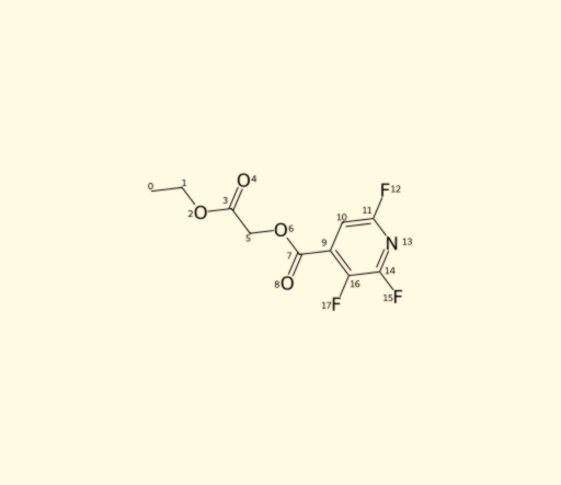 CCOC(=O)COC(=O)c1cc(F)nc(F)c1F